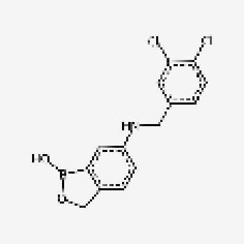 OB1OCc2ccc(NCc3ccc(Cl)c(Cl)c3)cc21